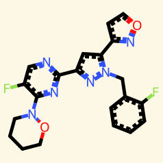 Fc1ccccc1Cn1nc(-c2ncc(F)c(N3CCCCO3)n2)cc1-c1ccon1